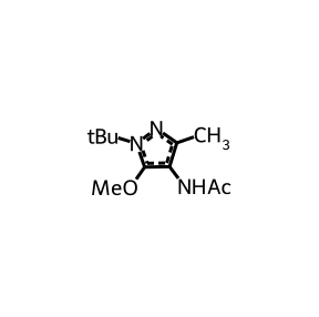 COc1c(NC(C)=O)c(C)nn1C(C)(C)C